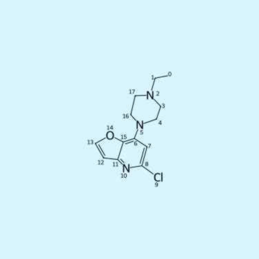 CCN1CCN(c2cc(Cl)nc3ccoc23)CC1